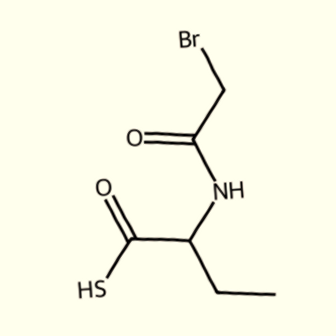 CCC(NC(=O)CBr)C(=O)S